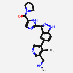 CCNCc1cncc(-c2ccc3[nH]nc(-c4ncc(C(=O)N5CCCC5)[nH]4)c3c2)c1C